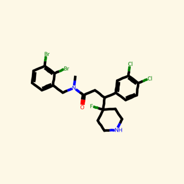 CN(Cc1cccc(Br)c1Br)C(=O)CC(c1ccc(Cl)c(Cl)c1)C1(F)CCNCC1